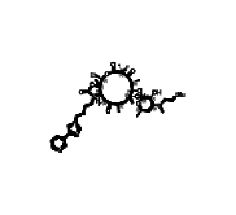 CC[C@H]1OC(=O)[C@@](C)(F)C(=O)[C@H](C)[C@@H](O[C@@H]2O[C@H](C)C[C@H](N(C)CCC(C)(C)C)[C@H]2O)[C@](C)(OC)C[C@@H](C)C(=O)[C@H](C)[C@H]2N(CCCCn3cnc(-c4cccnc4)c3)C(=O)O[C@]12C